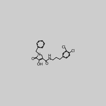 O=C(NCCCc1ccc(Cl)c(Cl)c1)C1=C(O)C(=O)N(Cc2ccccc2)C1